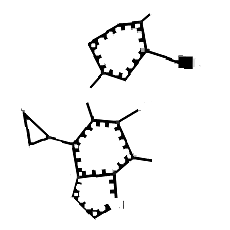 N#Cc1cc(Oc2c(F)c(F)c3[nH]ccc3c2C2CC2)ccc1F